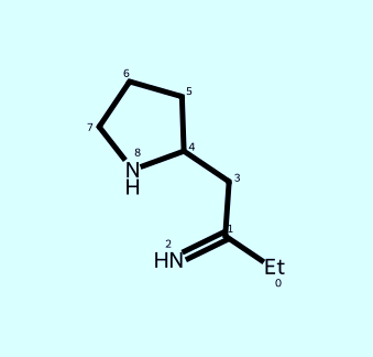 CCC(=N)CC1CCCN1